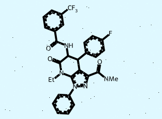 CCN1C(=O)C(NC(=O)c2cccc(C(F)(F)F)c2)C(c2ccc(F)cc2)c2c(C(=O)NC)nn(-c3ccccc3)c21